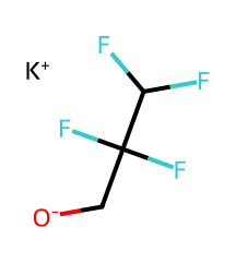 [K+].[O-]CC(F)(F)C(F)F